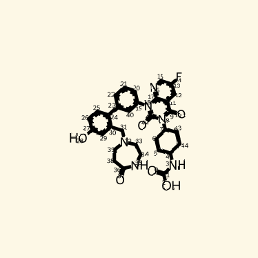 O=C(O)NC1CCC(n2c(=O)c3cc(F)cnc3n(-c3cccc(-c4ccc(O)cc4CN4CCNC(=O)CC4)c3)c2=O)CC1